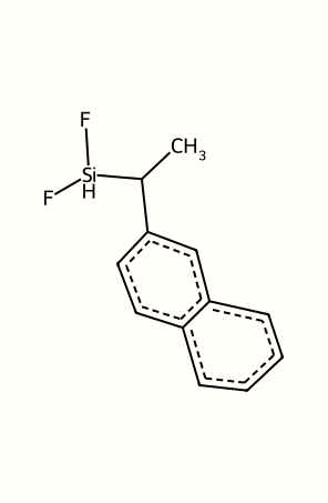 CC(c1ccc2ccccc2c1)[SiH](F)F